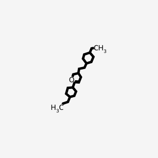 CCCC1CCC(C2=CCC(CCC3CCC(CC)CC3)CO2)CC1